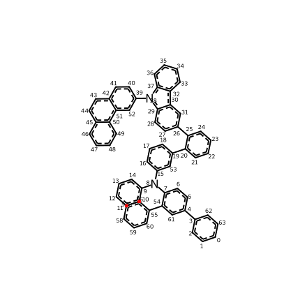 c1ccc(-c2ccc(N(c3ccccc3)c3cccc(-c4ccccc4-c4ccc5c(c4)c4ccccc4n5-c4ccc5ccc6ccccc6c5c4)c3)c(-c3ccccc3)c2)cc1